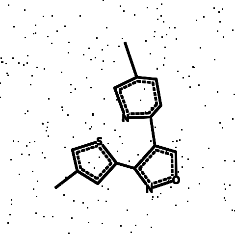 Cc1ccc(-c2conc2-c2cc(C)cs2)nc1